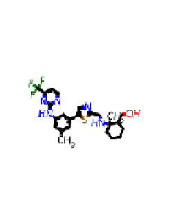 Cc1cc(Nc2nccc(C(F)(F)F)n2)cc(-c2cnc(CNC3(C)CCCCC3CO)s2)c1